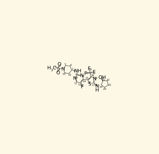 CS(=O)(=O)N1CCC(Nc2ncc(F)c(-c3sc(N[C@H]4CCC[C@@H]4O)nc3C(F)(F)F)n2)CC1